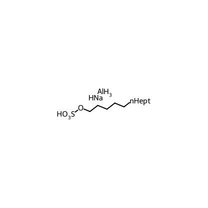 CCCCCCCCCCCCOS(=O)(=O)O.[AlH3].[NaH]